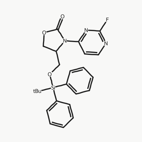 CC(C)(C)[Si](OCC1COC(=O)N1c1ccnc(F)n1)(c1ccccc1)c1ccccc1